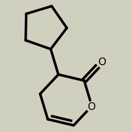 O=C1OC=CCC1C1CCCC1